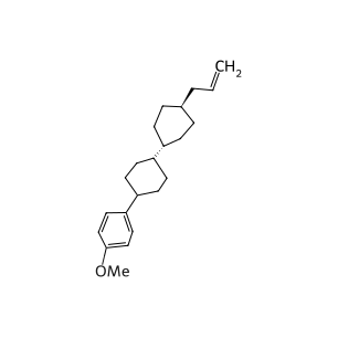 C=CC[C@H]1CC[C@H](C2CCC(c3ccc(OC)cc3)CC2)CC1